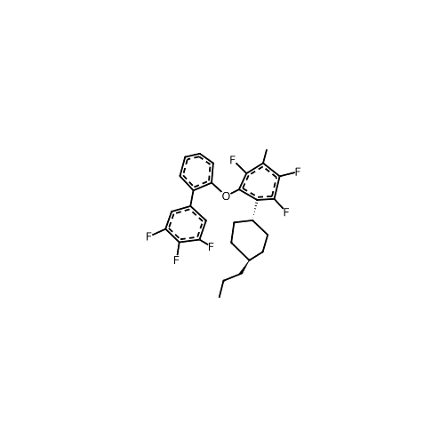 CCC[C@H]1CC[C@H](c2c(F)c(F)c(C)c(F)c2Oc2ccccc2-c2cc(F)c(F)c(F)c2)CC1